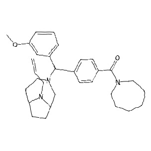 C=CCN1C2CCC1CN(C(c1ccc(C(=O)N3CCCCCC3)cc1)c1cccc(OC)c1)CC2